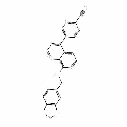 N#Cc1ccc(-c2ccnc3c(NCc4ccc5c(c4)OCO5)cccc23)cn1